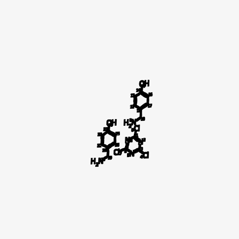 Clc1nc(Cl)nc(Cl)n1.NCc1ccc(O)cc1.NCc1ccc(O)cc1